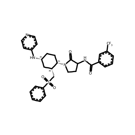 O=C(NC1CCN([C@H]2CC[C@@H](Nc3ccncc3)C[C@H]2CS(=O)(=O)c2ccccc2)C1=O)c1cccc(C(F)(F)F)c1